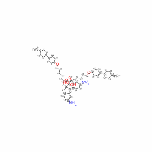 CCCC1CCC(c2ccc(OCCCCCC(=O)CC(Cc3ccc(N)cc3)(Cc3ccc(N)cc3)C(O)(O)C(=O)CCCCCOc3ccc(C4CCC(CCC)CC4)cc3)cc2)CC1